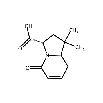 CC1(C)C[C@@H](C(=O)O)N2C(=O)C=CCC21